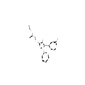 CCOC(=O)COc1nn(-c2ccccn2)c(-c2ccnc(F)c2)c1Br